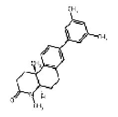 Cc1cc(C)cc(-c2ccc3c(c2)CC[C@H]2N(C)C(=O)CC[C@]32C)c1